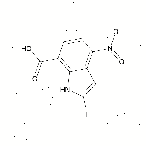 O=C(O)c1ccc([N+](=O)[O-])c2cc(I)[nH]c12